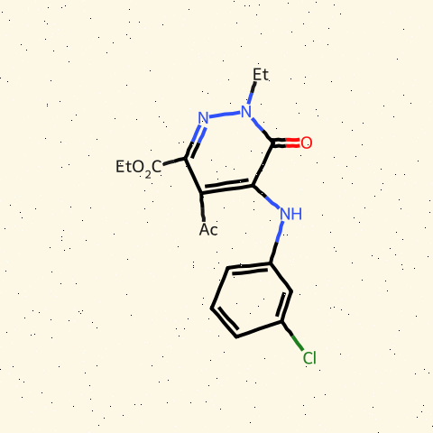 CCOC(=O)c1nn(CC)c(=O)c(Nc2cccc(Cl)c2)c1C(C)=O